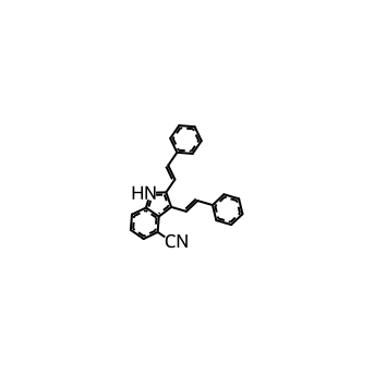 N#Cc1cccc2[nH]c(/C=C/c3ccccc3)c(/C=C/c3ccccc3)c12